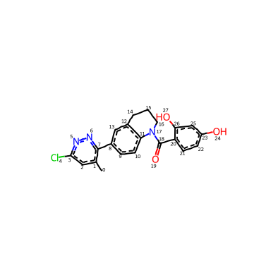 Cc1cc(Cl)nnc1-c1ccc2c(c1)CCCN2C(=O)c1ccc(O)cc1O